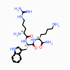 N=C(N)NCCC[C@@H](N)C(=O)N[C@@H](Cc1c[nH]c2ccccc12)C(=O)N[C@@H](CCCCN)C(N)=O